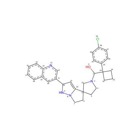 OC(N1CCC2(CCN3NC(c4cnc5ccccc5c4)C=C32)C1)C1(c2ccc(Cl)cc2)CCC1